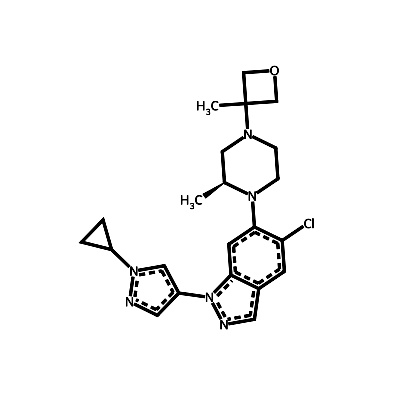 C[C@H]1CN(C2(C)COC2)CCN1c1cc2c(cnn2-c2cnn(C3CC3)c2)cc1Cl